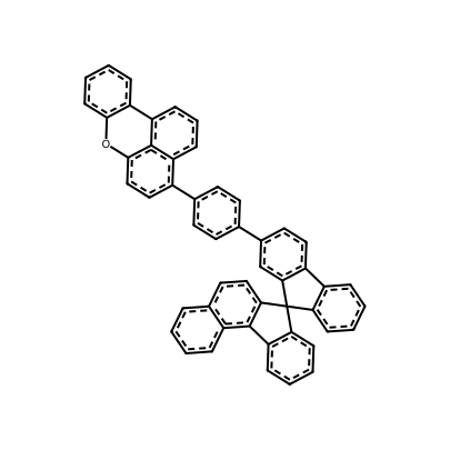 c1ccc2c(c1)Oc1ccc(-c3ccc(-c4ccc5c(c4)C4(c6ccccc6-5)c5ccccc5-c5c4ccc4ccccc54)cc3)c3cccc-2c13